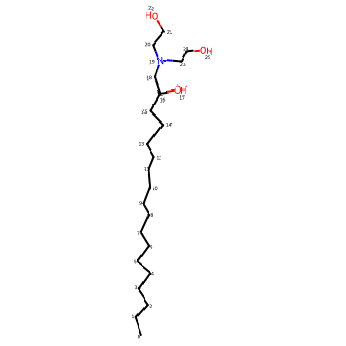 CCCCCCCCCCCCCCCCC(O)CN(CCO)CCO